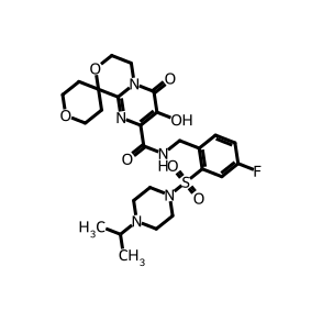 CC(C)N1CCN(S(=O)(=O)c2cc(F)ccc2CNC(=O)c2nc3n(c(=O)c2O)CCOC32CCOCC2)CC1